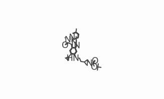 CNC(=O)c1c2cc(C3CC3)c(NCCC3CN(C(=O)OC(C)(C)C)C3)cc2nn1-c1ccc(C)cn1